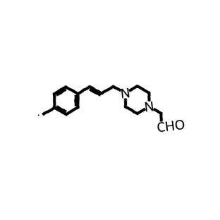 [CH2]c1ccc(/C=C/CN2CCN(CC=O)CC2)cc1